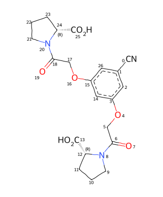 N#Cc1cc(OCC(=O)N2CCC[C@@H]2C(=O)O)cc(OCC(=O)N2CCC[C@@H]2C(=O)O)c1